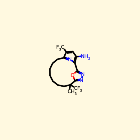 CC1(C(F)(F)F)CCCCCCCc2nc(c(N)cc2C(F)(F)F)-c2nnc1o2